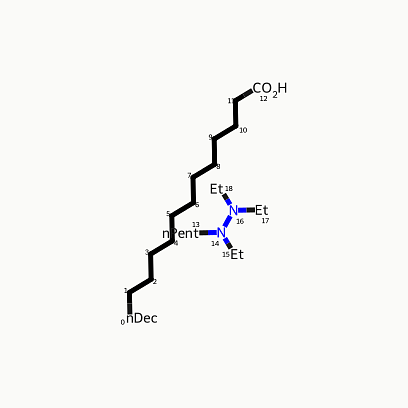 CCCCCCCCCCCCCCCCCCCCCC(=O)O.CCCCCN(CC)N(CC)CC